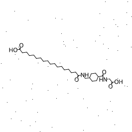 O=C(O)CCCCCCCCCCCCCCCCC(=O)NCC1CCC(C(=O)NCC(=O)O)CC1